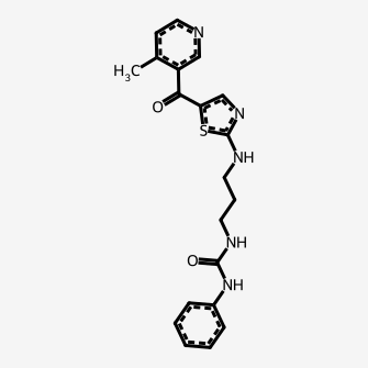 Cc1ccncc1C(=O)c1cnc(NCCCNC(=O)Nc2ccccc2)s1